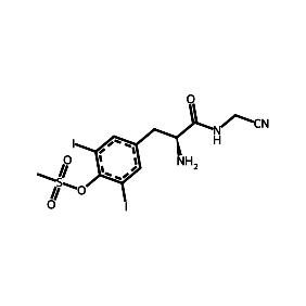 CS(=O)(=O)Oc1c(I)cc(C[C@H](N)C(=O)NCC#N)cc1I